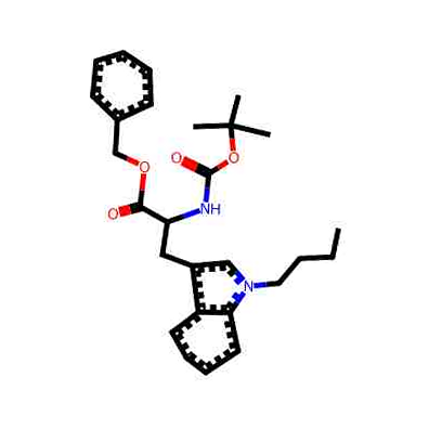 CCCCn1cc(CC(NC(=O)OC(C)(C)C)C(=O)OCc2ccccc2)c2ccccc21